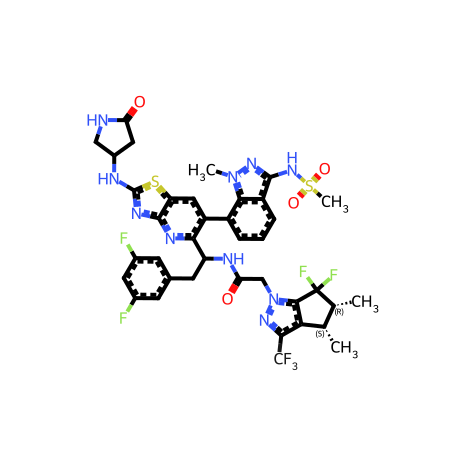 C[C@@H]1c2c(C(F)(F)F)nn(CC(=O)NC(Cc3cc(F)cc(F)c3)c3nc4nc(NC5CNC(=O)C5)sc4cc3-c3cccc4c(NS(C)(=O)=O)nn(C)c34)c2C(F)(F)[C@@H]1C